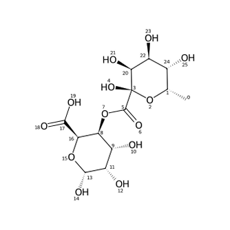 C[C@@H]1O[C@](O)(C(=O)O[C@H]2[C@H](O)[C@H](O)[C@H](O)O[C@H]2C(=O)O)[C@@H](O)[C@@H](O)[C@@H]1O